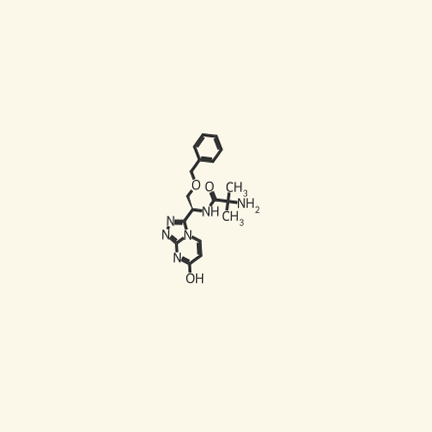 CC(C)(N)C(=O)N[C@H](COCc1ccccc1)c1nnc2nc(O)ccn12